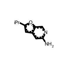 CC(C)c1cc2cc(N)ncc2o1